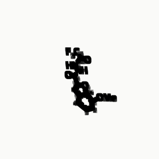 COc1cccc2cc(C(=O)NNC(=O)C(F)(F)F)oc12